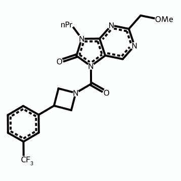 CCCn1c(=O)n(C(=O)N2CC(c3cccc(C(F)(F)F)c3)C2)c2cnc(COC)nc21